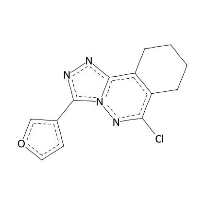 Clc1nn2c(-c3ccoc3)nnc2c2c1CCCC2